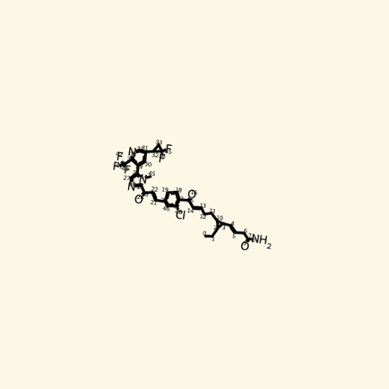 CCC1C(/C=C/CC(N)=O)C1CC/C=C/C(=O)c1ccc(/C=C/C(=O)c2ncc(-c3cc(C4CC4(F)F)cnc3C(F)(F)F)n2C)cc1Cl